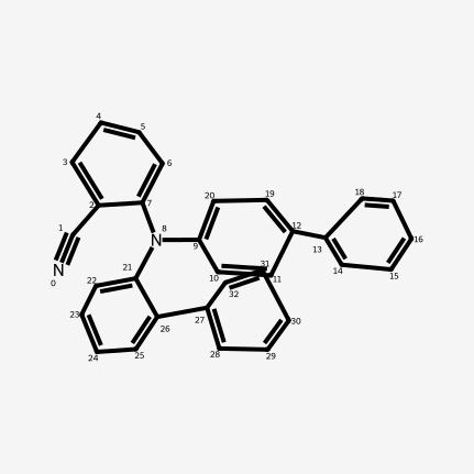 N#Cc1ccccc1N(c1ccc(-c2ccccc2)cc1)c1ccccc1-c1ccccc1